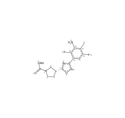 COC(=O)N1CC[C@@H](c2nc(-c3cc(F)c(C)c(N)c3F)no2)C1